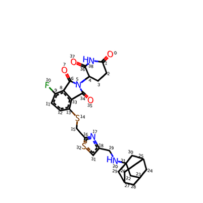 O=C1CCC(N2C(=O)c3c(F)ccc(SCc4nc(CNC56CC7CC(CC(C7)C5)C6)cs4)c3C2=O)C(=O)N1